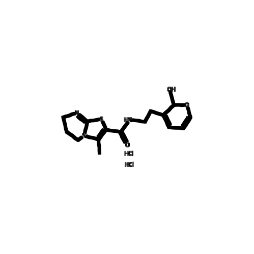 CC1=C(C(=O)NCCC2=CC=COC2O)SC2=NCCCN21.Cl.Cl